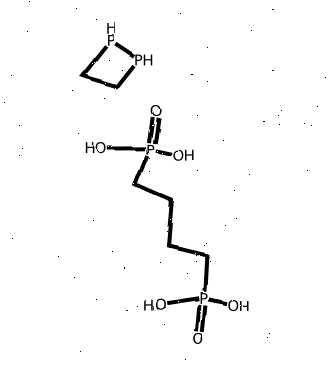 C1CPP1.O=P(O)(O)CCCCP(=O)(O)O